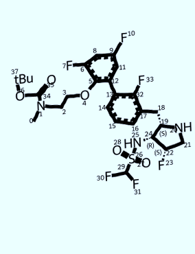 CN(CCOc1c(F)cc(F)cc1-c1cccc(C[C@@H]2NC[C@H](F)[C@@H]2NS(=O)(=O)C(F)F)c1F)C(=O)OC(C)(C)C